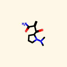 C=C(C(N)=O)C(=O)C1CCCN1N(C)C